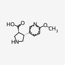 COc1ccc([C@@H]2CNC[C@H]2C(=O)O)cn1